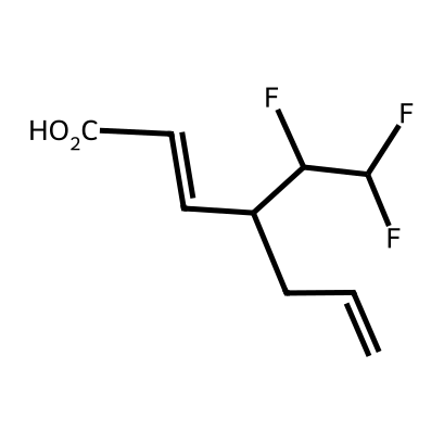 C=CCC(/C=C/C(=O)O)C(F)C(F)F